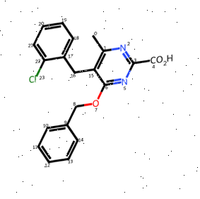 Cc1nc(C(=O)O)nc(OCc2ccccc2)c1Cc1ccccc1Cl